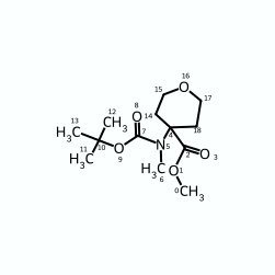 COC(=O)C1(N(C)C(=O)OC(C)(C)C)CCOCC1